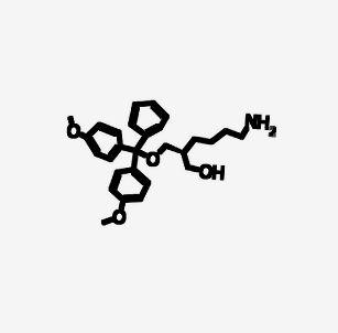 COc1ccc(C(OC[C@H](CO)CCCCN)(c2ccccc2)c2ccc(OC)cc2)cc1